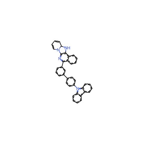 C1=CC2Nc3c(nc(-c4cccc(-c5ccc(-n6c7ccccc7c7ccccc76)cc5)c4)c4ccccc34)N2C=C1